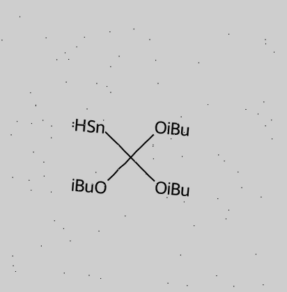 CC(C)CO[C]([SnH])(OCC(C)C)OCC(C)C